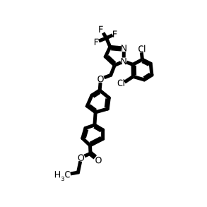 CCOC(=O)c1ccc(-c2ccc(OCc3cc(C(F)(F)F)nn3-c3c(Cl)cccc3Cl)cc2)cc1